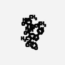 CC=C(c1c(C)c(C(=O)NCc2c(OC)cc(C)[nH]c2=O)cc2c(-c3ccnc(N(C)C)c3)ccn12)N1CCOCC1